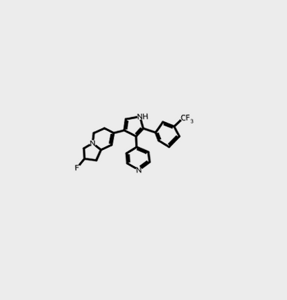 FC1CC2C=C(c3c[nH]c(-c4cccc(C(F)(F)F)c4)c3-c3ccncc3)CCN2C1